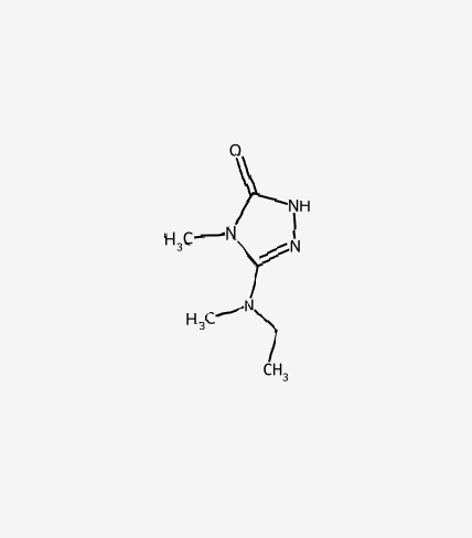 CCN(C)c1n[nH]c(=O)n1C